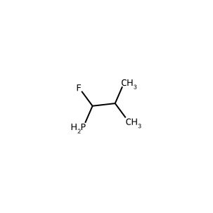 CC(C)C(F)P